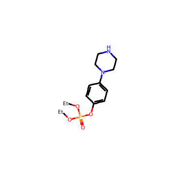 CCOP(=O)(OCC)Oc1ccc(N2CCNCC2)cc1